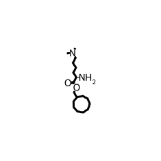 CN(C)CCCC[C@H](N)C(=O)OCC1CCCCCCCC1